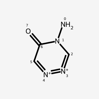 NN1C=[N+]=[N+]=CC1=O